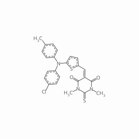 Cc1ccc(N(c2ccc(Cl)cc2)c2ccc(C=C3C(=O)N(C)C(=S)N(C)C3=O)s2)cc1